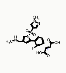 CNCc1cc(-c2ccccc2F)n(S(=O)(=O)c2cnn(C)c2)c1.O=C(O)/C=C/C(=O)O